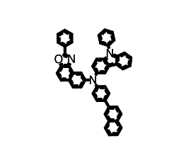 c1ccc(-c2nc3c(ccc4ccc(N(c5ccc(-c6ccc7ccccc7c6)cc5)c5ccc6c(c5)c5ccccc5n6-c5ccccc5)cc43)o2)cc1